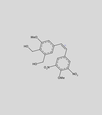 COc1cc(/C=C\c2cc([N+](=O)[O-])c(OC)c([N+](=O)[O-])c2)cc(CO)c1CO